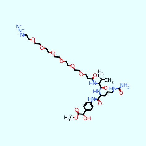 COC(=O)C(O)c1ccc(NC(=O)C(CCCNC(N)=O)NC(=O)C(NC(=O)CCOCCOCCOCCOCCOCCOCCN=[N+]=[N-])C(C)C)cc1